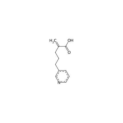 C=C(CCCc1cccnc1)C(=O)O